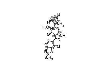 Cn1cc2c(Cl)c(-c3c[nH]c4nc(N5C[C@H]6C[C@@H]5C6N)n(C)c(=O)c34)ccc2n1